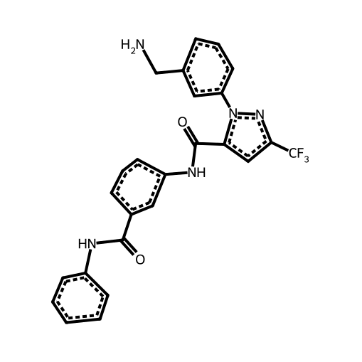 NCc1cccc(-n2nc(C(F)(F)F)cc2C(=O)Nc2cccc(C(=O)Nc3ccccc3)c2)c1